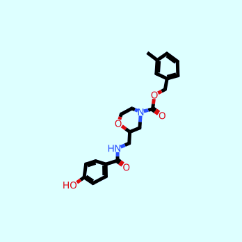 Cc1cccc(COC(=O)N2CCOC(CNC(=O)c3ccc(O)cc3)C2)c1